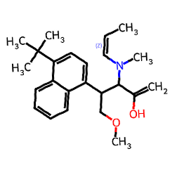 C=C(O)C(C(COC)c1ccc(C(C)(C)C)c2ccccc12)N(C)/C=C\C